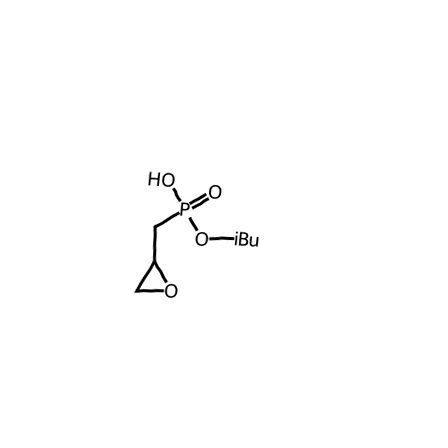 CCC(C)OP(=O)(O)CC1CO1